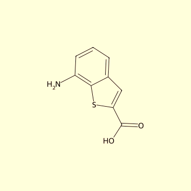 Nc1cccc2cc(C(=O)O)sc12